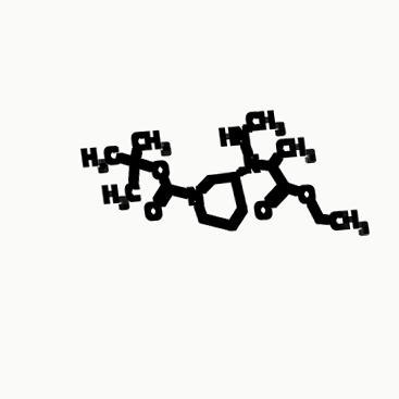 CCOC(=O)C(C)N(NC)[C@@H]1CCCN(C(=O)OC(C)(C)C)C1